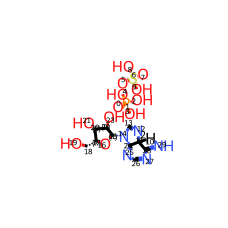 O=P(O)(O)O.O=S(=O)(O)O.[2H]C12N=CN([C@@H]3O[C@H](CO)[C@@H](O)[C@H]3O)C1=NC=NC2=N